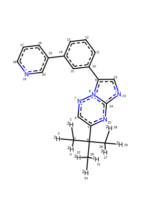 [2H]C([2H])([2H])C(c1cnn2c(-c3cccc(-c4cccnc4)c3)cnc2n1)(C([2H])([2H])[2H])C([2H])([2H])[2H]